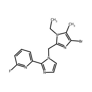 CCn1c(Cn2ccnc2-c2cccc(F)n2)nc(Br)c1C